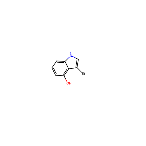 [CH2]Cc1c[nH]c2cccc(O)c12